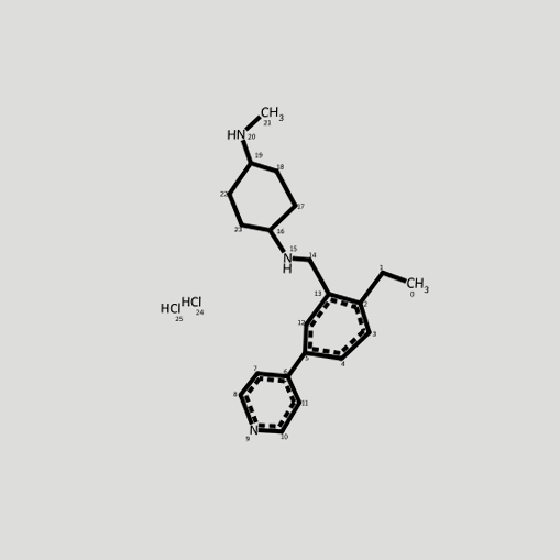 CCc1ccc(-c2ccncc2)cc1CNC1CCC(NC)CC1.Cl.Cl